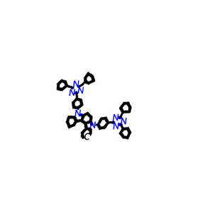 c1ccc(-c2nc(-c3ccccc3)nc(-c3ccc(-n4c5ccccc5c5c6c7ccccc7n(-c7ccc(-c8nc(-c9ccccc9)nc(-c9ccccc9)n8)cc7)c6ccc54)cc3)n2)cc1